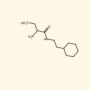 NC(CC(=O)O)C(=O)NCCC1CCCCC1